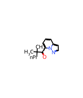 CCCC(C)(C)C(=O)c1cccc2ccnn12